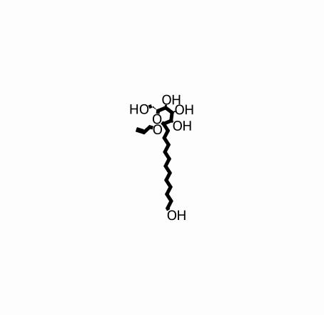 C=CCOC1(CCCCCCCCCCCCO)O[C@H](CO)[C@@H](O)[C@H](O)[C@H]1O